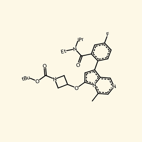 CCN(C(=O)c1cc(F)ccc1-c1cc(OC2CN(C(=O)OC(C)(C)C)C2)n2c(C)cncc12)C(C)C